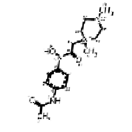 CC(=O)Nc1ccc(N(O)C(=O)C[N+]2(C)CCN(C)CC2)cc1